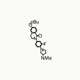 CCCCOc1ccc2c(c1)CCN(c1ccc(N3CC[C@@H](NC)C3)c(F)c1)C2=O